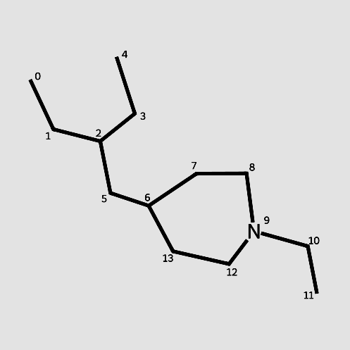 CCC(CC)CC1CCN(CC)CC1